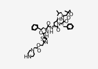 CC(C)C[C@H](NC(=O)[C@H](Cc1ccccc1)N1C(=O)[C@@H](NC(=O)[C@H](CCc2ccccc2)NC(=O)c2cnc(COC(=O)CN3CCNCC3)s2)CC1C)C(=O)C1(C)CO1